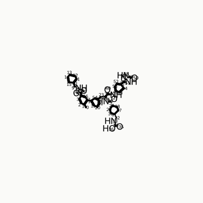 Cc1ccc(S(=O)(=O)NCc2ccccc2)cc1-c1cccc(C[C@H](NC(=O)[C@H]2CC[C@H](CNC(=O)O)CC2)C(=O)Nc2ccc(-c3n[nH]c(=O)[nH]3)cc2)c1